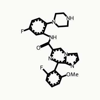 COc1cccc(F)c1-c1nc(C(=O)Nc2cc(F)ccc2N2CCNCC2)cn2ccnc12